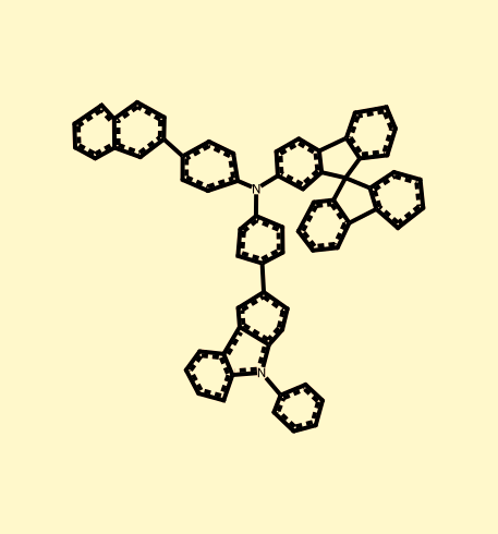 c1ccc(-n2c3ccccc3c3cc(-c4ccc(N(c5ccc(-c6ccc7ccccc7c6)cc5)c5ccc6c(c5)C5(c7ccccc7-c7ccccc75)c5ccccc5-6)cc4)ccc32)cc1